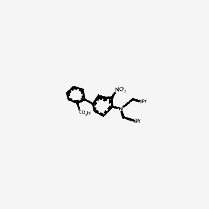 CC(C)CN(CC(C)C)c1ccc(-c2ccccc2C(=O)O)cc1[N+](=O)[O-]